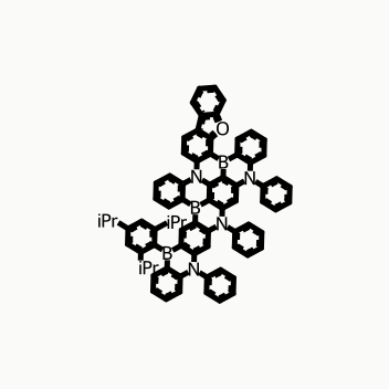 CC(C)c1cc(C(C)C)c(B2c3ccccc3N(c3ccccc3)c3cc4c(cc32)B2c3ccccc3N3c5ccc6c(oc7ccccc76)c5B5c6ccccc6N(c6ccccc6)c6cc(c2c3c65)N4c2ccccc2)c(C(C)C)c1